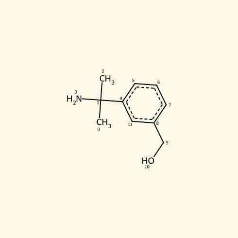 CC(C)(N)c1cccc(CO)c1